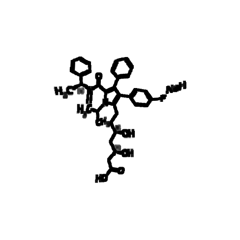 CC(C)n1c(CC[C@@H](O)C[C@@H](O)CC(=O)O)c(-c2ccc(F)cc2)c(-c2ccccc2)c1C(=O)N[C@@H](C)c1ccccc1.[NaH]